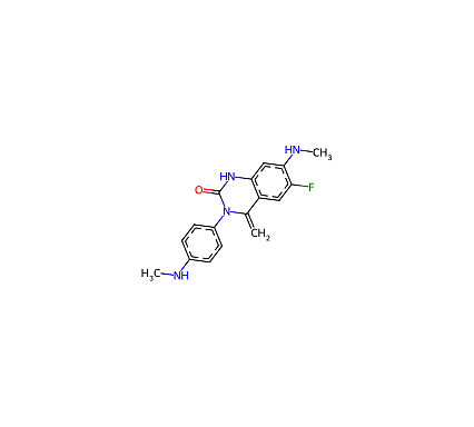 C=C1c2cc(F)c(NC)cc2NC(=O)N1c1ccc(NC)cc1